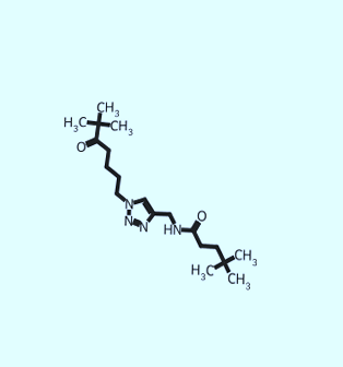 CC(C)(C)CCC(=O)NCc1cn(CCCCC(=O)C(C)(C)C)nn1